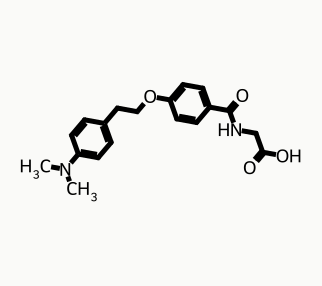 CN(C)c1ccc(CCOc2ccc(C(=O)NCC(=O)O)cc2)cc1